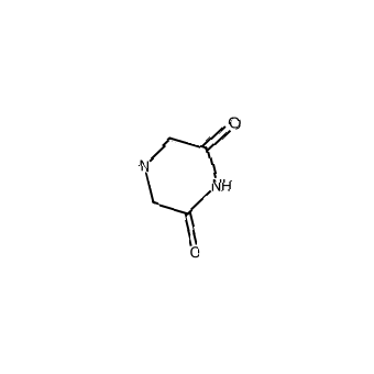 O=C1C[N]CC(=O)N1